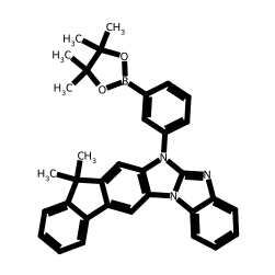 CC1(C)c2ccccc2-c2cc3c(cc21)n(-c1cccc(B2OC(C)(C)C(C)(C)O2)c1)c1nc2ccccc2n31